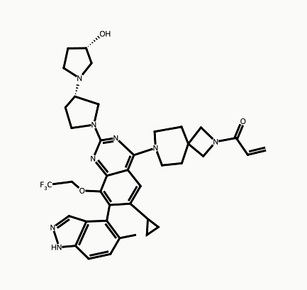 C=CC(=O)N1CC2(CCN(c3nc(N4CC[C@H](N5CC[C@H](O)C5)C4)nc4c(OCC(F)(F)F)c(-c5c(C)ccc6[nH]ncc56)c(C5CC5)cc34)CC2)C1